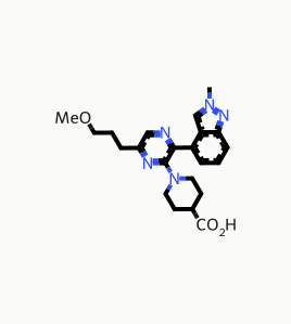 COCCCc1cnc(-c2cccc3nn(C)cc23)c(N2CCC(C(=O)O)CC2)n1